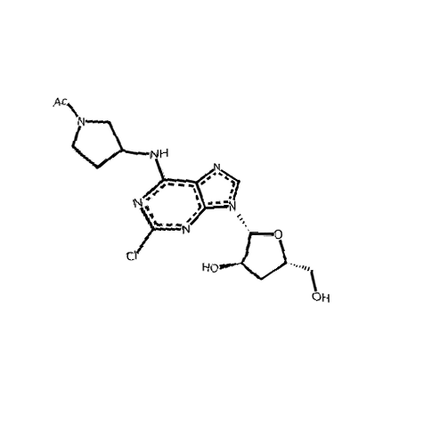 CC(=O)N1CCC(Nc2nc(Cl)nc3c2ncn3[C@@H]2O[C@H](CO)C[C@H]2O)C1